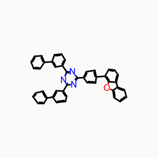 c1ccc(-c2cccc(-c3nc(-c4ccc(-c5cccc6c5oc5ccccc56)cc4)nc(-c4cccc(-c5ccccc5)c4)n3)c2)cc1